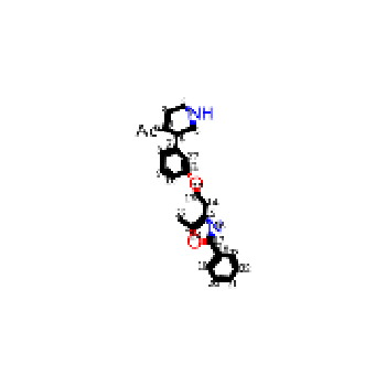 CC(=O)[C@H]1CCNC[C@H]1c1cccc(OCCc2nc(-c3ccccc3)oc2C)c1